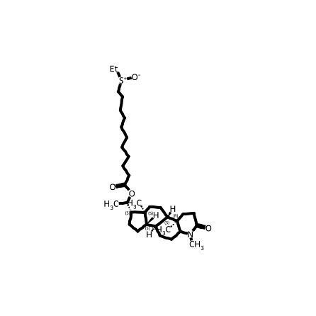 CC[S+]([O-])CCCCCCCCCCC(=O)OC(C)[C@H]1CC[C@H]2[C@@H]3CCC4N(C)C(=O)CC[C@]4(C)[C@H]3CC[C@]12C